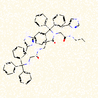 O=C(O)CCNC(=O)[C@H](Cc1c[nH]cn1)N(C(=O)CCNC(=O)[C@H](Cc1c[nH]cn1)NC(c1ccccc1)(c1ccccc1)c1ccccc1)C(c1ccccc1)(c1ccccc1)c1ccccc1